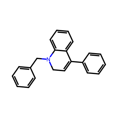 C1=C(c2ccccc2)c2ccccc2N(Cc2ccccc2)C1